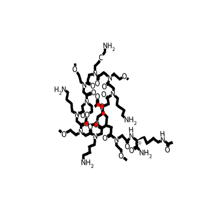 COCCC(CC(=O)N(CCOC)CC(=O)N[C@@H](CCCCNC(C)=O)C(N)=O)C(=O)CN(CCCCN)C(=O)CN(CCOC)C(=O)CN(CCCCN)C(=O)CN(CCOC)C(=O)CN(CCOC)C(=O)CN(CCCCN)C(=O)CN(CCOC)C(=O)CN(CCCCN)C(=O)CN(CCOC)C(C)=O